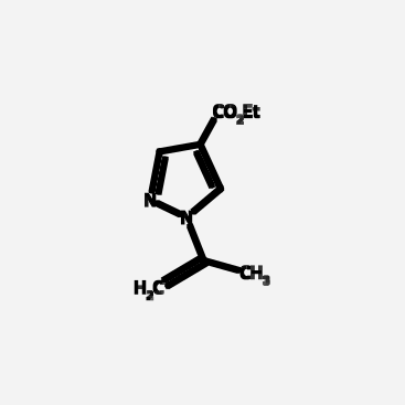 C=C(C)n1cc(C(=O)OCC)cn1